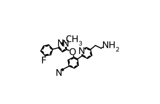 Cn1nc(-c2cccc(F)c2)cc1Oc1cc(C#N)ccc1-c1ccc(CCN)cn1